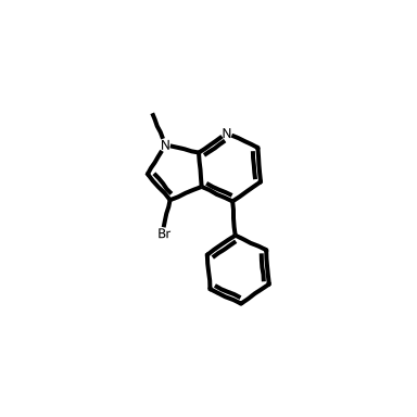 Cn1cc(Br)c2c(-c3ccccc3)ccnc21